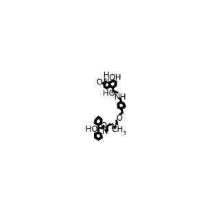 CN(CCOCCc1ccc(CNC[C@H](O)c2ccc(O)c3[nH]c(=O)ccc23)cc1)Cc1cnc(C(O)(c2ccccc2)c2ccccc2)o1